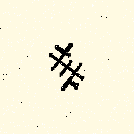 O=S(=O)(F)C(F)(F)C(F)(F)C(F)(F)S(=O)(=O)F